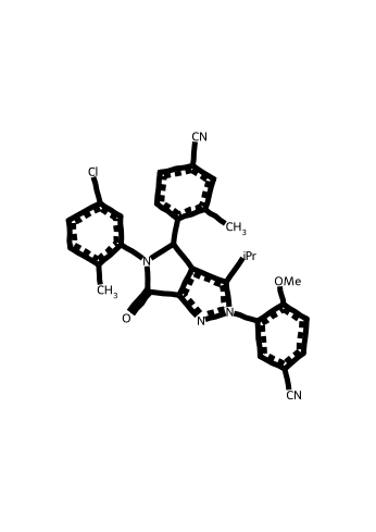 COc1ccc(C#N)cc1-n1nc2c(c1C(C)C)C(c1ccc(C#N)cc1C)N(c1cc(Cl)ccc1C)C2=O